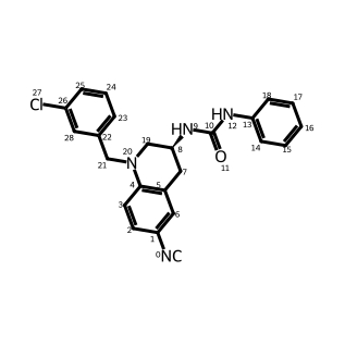 [C-]#[N+]c1ccc2c(c1)C[C@H](NC(=O)Nc1ccccc1)CN2Cc1cccc(Cl)c1